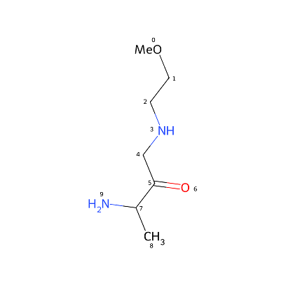 COCCNCC(=O)C(C)N